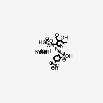 Cc1nc(/N=N/c2ccc(S(=O)(=O)O)cc2S(=O)(=O)O)c(COP(=O)(O)O)c(C=O)c1O.[NaH].[NaH].[NaH].[NaH]